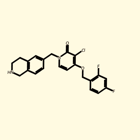 O=c1c(Cl)c(OCc2ccc(F)cc2F)ccn1Cc1ccc2c(c1)CCNC2